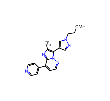 COCCn1cc(-c2c(C(F)(F)F)nc3c(-c4ccncc4)ccnn23)cn1